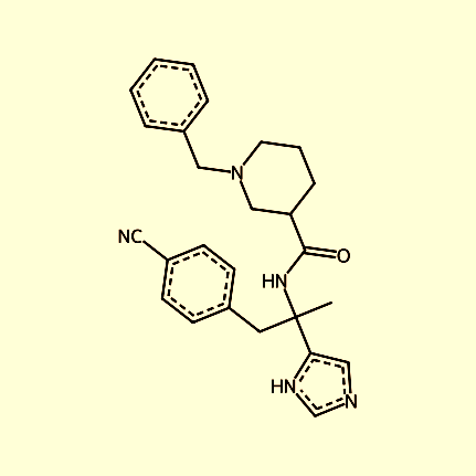 CC(Cc1ccc(C#N)cc1)(NC(=O)C1CCCN(Cc2ccccc2)C1)c1cnc[nH]1